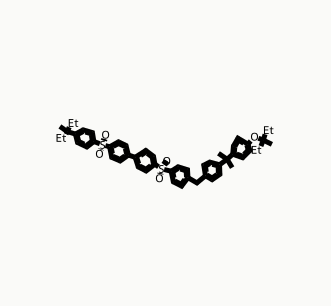 CCC(C)(CC)Oc1ccc(C(C)(C)c2ccc(Cc3ccc(S(=O)(=O)c4ccc(-c5ccc(S(=O)(=O)c6ccc(C(C)(CC)CC)cc6)cc5)cc4)cc3)cc2)cc1